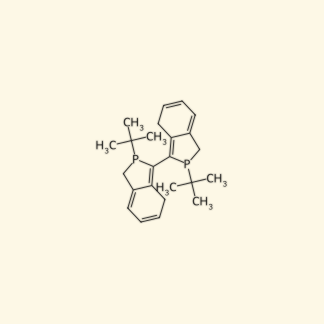 CC(C)(C)P1CC2=CC=CCC2=C1C1=C2CC=CC=C2CP1C(C)(C)C